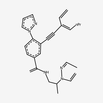 C=C/C(C#Cc1cc(C(=C)NCC(C)N(C=C)/N=C\C)ccc1-n1cccn1)=C\CCC